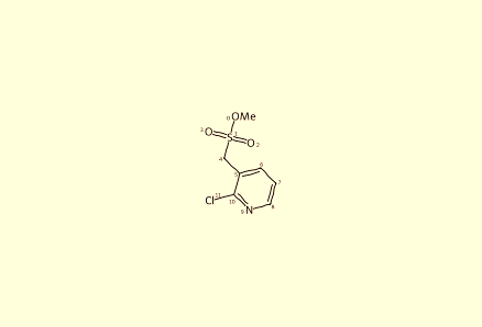 COS(=O)(=O)Cc1cccnc1Cl